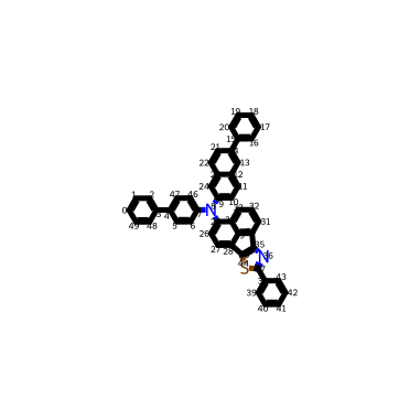 c1ccc(-c2ccc(N(c3ccc4cc(-c5ccccc5)ccc4c3)c3ccc4c5c(cccc35)-c3nc(-c5ccccc5)sc3-4)cc2)cc1